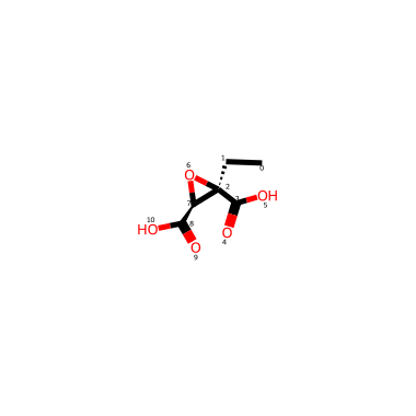 CC[C@@]1(C(=O)O)O[C@@H]1C(=O)O